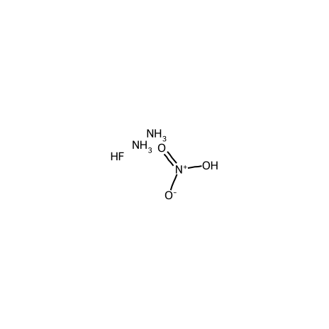 F.N.N.O=[N+]([O-])O